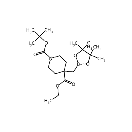 CCOC(=O)C1(CB2OC(C)(C)C(C)(C)O2)CCN(C(=O)OC(C)(C)C)CC1